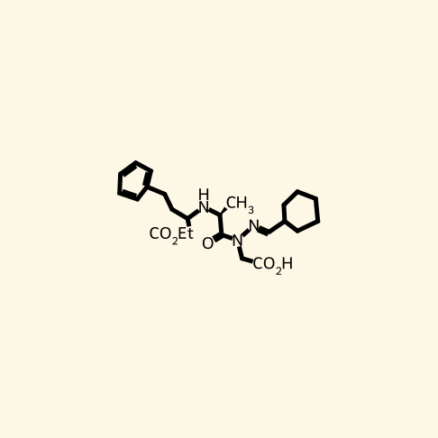 CCOC(=O)C(CCc1ccccc1)N[C@@H](C)C(=O)N(CC(=O)O)/N=C/C1CCCCC1